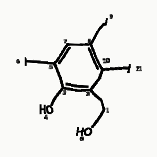 OCc1c(O)c(I)cc(I)c1I